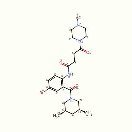 CC(=O)N1CCN(C(=O)CCC(=O)Nc2ccc(Br)cc2C(=O)N2C[C@H](C)C[C@H](C)C2)CC1